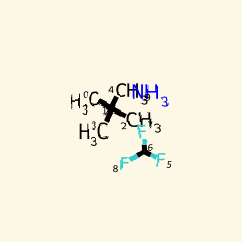 CC(C)(C)C.FC(F)F.N